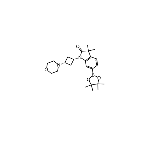 CC1(C)C(=O)N([C@H]2C[C@@H](N3CCOCC3)C2)c2cc(B3OC(C)(C)C(C)(C)O3)ccc21